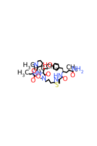 CCCC(=O)OCN(CCCc1nc(C(=O)N[C@@H](Cc2ccc(O)cc2)C[C@H](C)C(N)=O)cs1)C(=O)[C@@H](NC(=O)C1CCCCN1C)[C@@H](C)CC